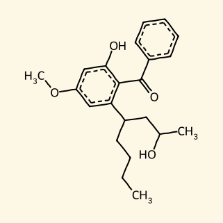 CCCCC(CC(C)O)c1cc(OC)cc(O)c1C(=O)c1ccccc1